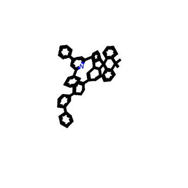 CC1(C)c2ccccc2C2(c3ccccc31)c1cccc(-c3cc(-c4ccccc4)cc(-c4ccccc4)n3)c1C1C=C(C3=CC=C(c4cccc(-c5ccccc5)c4)CC3)C=CC12